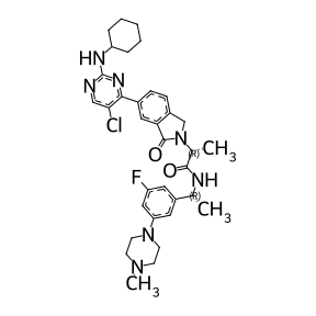 C[C@H](C(=O)N[C@H](C)c1cc(F)cc(N2CCN(C)CC2)c1)N1Cc2ccc(-c3nc(NC4CCCCC4)ncc3Cl)cc2C1=O